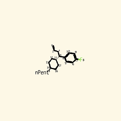 C=CCC(c1ccc(F)cc1)[C@H]1CC[C@H](CCCCC)CC1